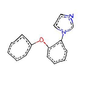 [c]1ccc(Oc2ccccc2)c(-n2ccnc2)c1